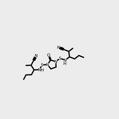 CCCC(NSN1CCN(SNC(CCC)C(C)C#N)C1=O)C(C)C#N